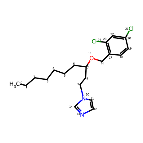 CCCCCCCC(CCn1ccnc1)OCc1ccc(Cl)cc1Cl